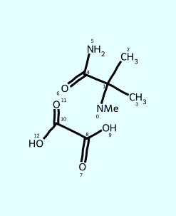 CNC(C)(C)C(N)=O.O=C(O)C(=O)O